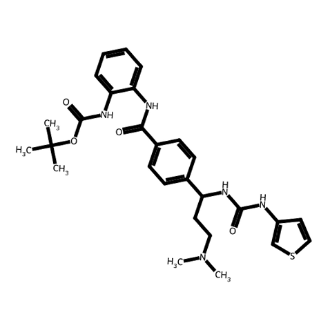 CN(C)CCC(NC(=O)Nc1ccsc1)c1ccc(C(=O)Nc2ccccc2NC(=O)OC(C)(C)C)cc1